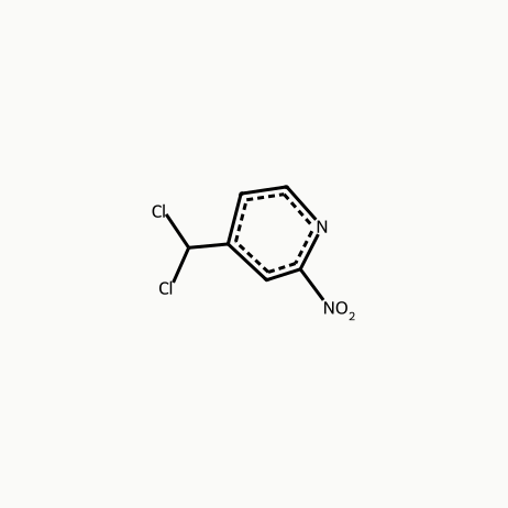 O=[N+]([O-])c1cc(C(Cl)Cl)ccn1